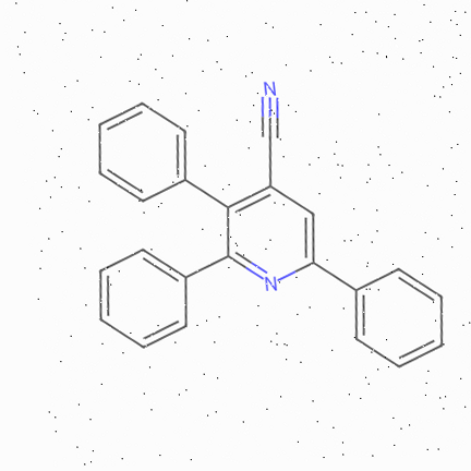 N#Cc1cc(-c2ccccc2)nc(-c2ccccc2)c1-c1ccccc1